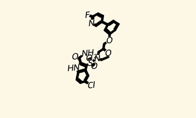 NC(=O)c1[nH]c2ccc(Cl)cc2c1S(=O)(=O)N1CCOC(COc2cccc(-c3ccc(F)nc3)c2)C1